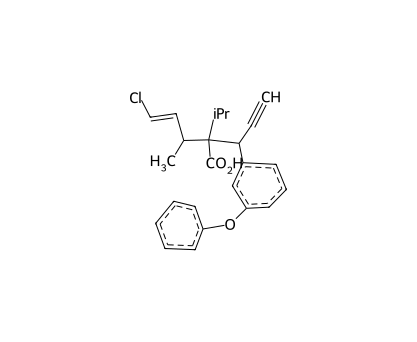 C#CC(c1cccc(Oc2ccccc2)c1)C(C(=O)O)(C(C)C)C(C)C=CCl